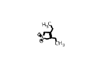 CCC1=C(CC)CS(=O)(=O)C1